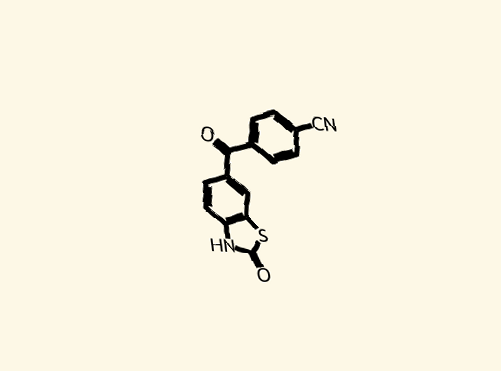 N#Cc1ccc(C(=O)c2ccc3[nH]c(=O)sc3c2)cc1